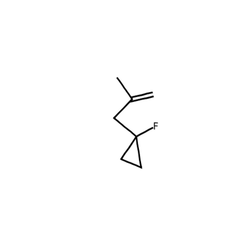 C=C(C)CC1(F)CC1